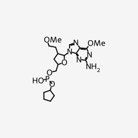 COCCC1CC(COP(O)OC2CCCC2)OC1n1cnc2c(OC)nc(N)nc21